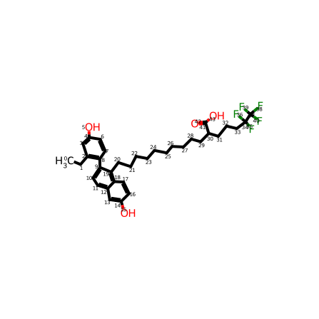 CCc1cc(O)ccc1-c1ccc2cc(O)ccc2c1CCCCCCCCCCC(CCCC(F)(F)C(F)(F)F)C(=O)O